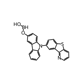 OBOc1ccc2c(c1)c1ccccc1n2-c1ccc2sc3cccnc3c2c1